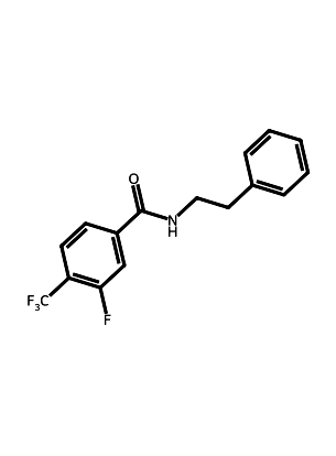 O=C(NCCc1ccccc1)c1ccc(C(F)(F)F)c(F)c1